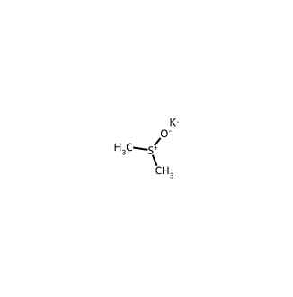 C[S+](C)[O-].[K]